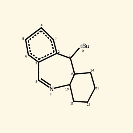 CC(C)(C)C1c2ccccc2C=NC2CCCCC21